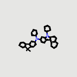 CC1(C)c2ccccc2-c2cc(N(c3ccccc3)c3ccc4c5c6ccccc6ccc5n(-c5ccccc5)c4c3)ccc21